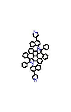 c1ccc(-c2c(-c3ccccc3)n(-c3ccc(-c4ccncc4)c4ccccc34)c3c4ccccc4c4c5c(-c6ccccc6)c(-c6ccccc6)n(-c6ccc(-c7ccncc7)c7ccccc67)c5c5ccccc5c4c23)cc1